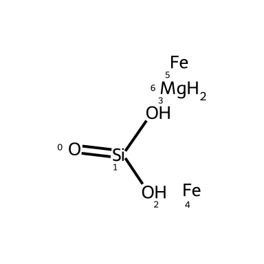 O=[Si](O)O.[Fe].[Fe].[MgH2]